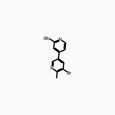 Cc1ncc(-c2ccnc(C(C)(C)C)c2)cc1Br